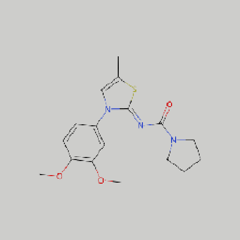 COc1ccc(-n2cc(C)sc2=NC(=O)N2CCCC2)cc1OC